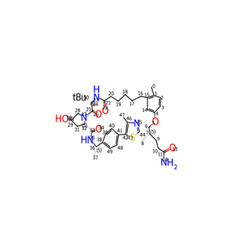 Cc1ccc(OC[C@@H](C)CCC(N)=O)cc1CCCCCC(=O)N[C@H](C(=O)N1C[C@H](O)C[C@H]1C(=O)N[C@@H](C)c1ccc(-c2scnc2C)cc1)C(C)(C)C